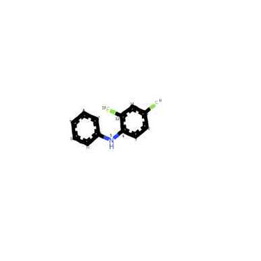 Fc1ccc(Nc2c[c]ccc2)c(F)c1